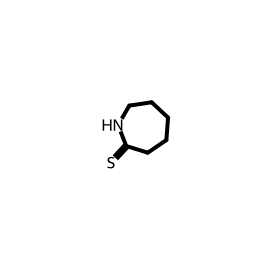 S=C1CCCCCN1